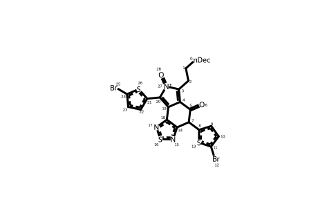 CCCCCCCCCCCCC1=C2C(=O)C(c3ccc(Br)s3)c3nsnc3C2=C(c2ccc(Br)s2)[N+]1=O